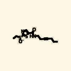 CCCC#CCCNC(=O)c1cnc([S+]([O-])CC)s1